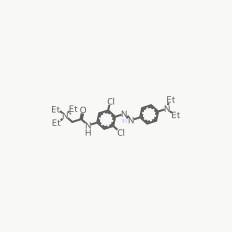 CCN(CC)c1ccc(/N=N/c2c(Cl)cc(NC(=O)C[N+](CC)(CC)CC)cc2Cl)cc1